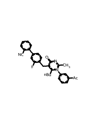 CCCCc1c(Cc2ccc(-c3ccccc3C#N)cc2F)c(=O)nc(C)n1-c1cccc(C(C)=O)c1